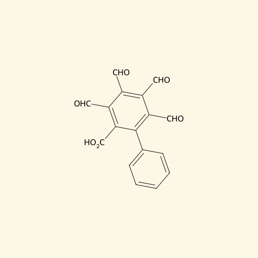 O=Cc1c(C=O)c(C=O)c(-c2ccccc2)c(C(=O)O)c1C=O